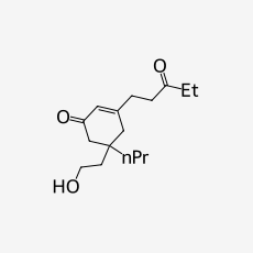 CCCC1(CCO)CC(=O)C=C(CCC(=O)CC)C1